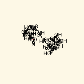 Cc1cc(C[C@@H](NC(=O)CC[C@@H](C(=O)O)N2CCN(CC(=O)O)CCN(CC(=O)O)CCN(CC(=O)O)CC2)C(=O)N[C@H](Cc2ccccc2)C(=O)NC(CCCCNC(=O)CCCCCCC(=O)NCCCC[C@H](NC(=O)N[C@@H](CCC(=O)OC(C)OC(=O)[C@H](CC(C)C)NC(=O)[C@H](CO)NC(=O)[C@@H]2CCCN2C(=O)[C@@H](C)NC(=O)c2ccncc2)C(=O)O)C(=O)O)C(=O)O)ccc1O